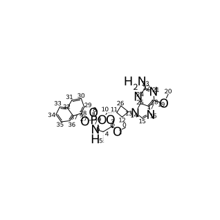 COC(=O)[C@H](C)NP(=O)(OC[C@H]1C[C@@H](n2cnc3c(OC)nc(N)nc32)C1)Oc1cccc2ccccc12